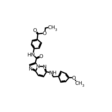 CCOC(=O)c1ccc(NC(=O)c2cnc3ccc(NCc4ccc(OC)cc4)nn23)cc1